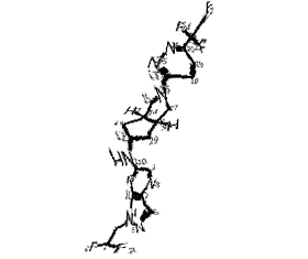 FC(F)Cn1ncc2ncc(NC3C[C@@H]4CN(c5ccc(C(F)(F)F)nn5)C[C@@H]4C3)nc21